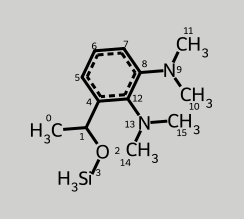 CC(O[SiH3])c1cccc(N(C)C)c1N(C)C